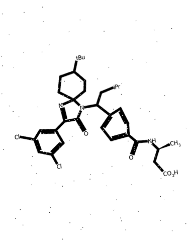 CC(C)CC(c1ccc(C(=O)N[C@@H](C)CC(=O)O)cc1)N1C(=O)C(c2cc(Cl)cc(Cl)c2)=NC12CCC(C(C)(C)C)CC2